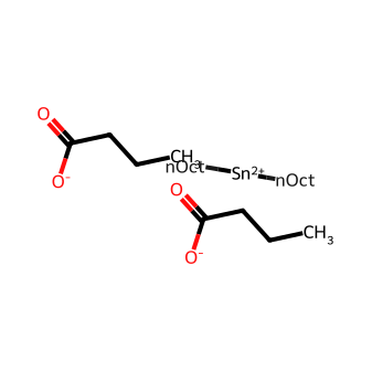 CCCC(=O)[O-].CCCC(=O)[O-].CCCCCCC[CH2][Sn+2][CH2]CCCCCCC